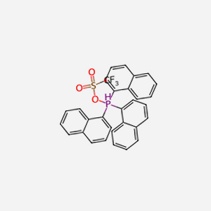 O=S(=O)(O[PH](c1cccc2ccccc12)(c1cccc2ccccc12)c1cccc2ccccc12)C(F)(F)F